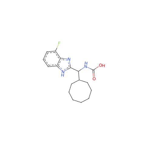 O=C(O)NC(c1nc2c(F)cccc2[nH]1)C1CCCCCCC1